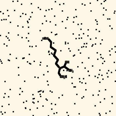 CCCCCCCCCCCCCCN(CC(=O)O)C(C)O